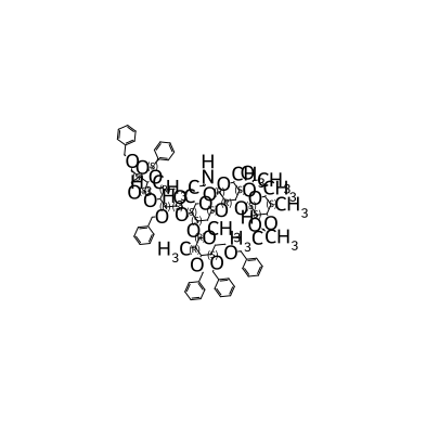 CC(=N)O[C@H]1OC(C)[C@H](OC(C)=O)C(O[C@@H]2OC(C)[C@H](C)C3OC(C)(C)O[C@@H]32)[C@H]1O[C@@H]1OC(C)[C@H](O[C@@H]2OC[C@@H](C)C(O[C@@H]3OC[C@]4(COCc5ccccc5)O[C@@H](c5ccccc5)OC34)[C@H]2OCc2ccccc2)[C@@H](O[C@@H]2OC(COCc3ccccc3)[C@@H](OCc3ccccc3)C(OCc3ccccc3)[C@H]2C)C1C